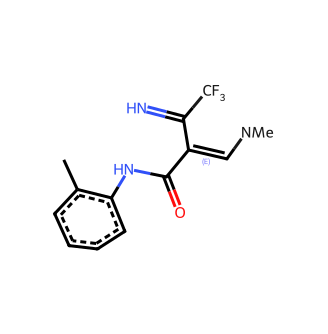 CN/C=C(\C(=N)C(F)(F)F)C(=O)Nc1ccccc1C